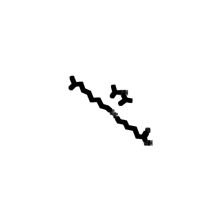 CC(C)CCCCCCCCCCCCCCC(=O)O.CC(C)NC(C)C